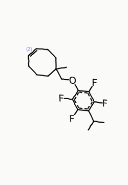 CC(C)c1c(F)c(F)c(OCC2(C)CC/C=C\CCC2)c(F)c1F